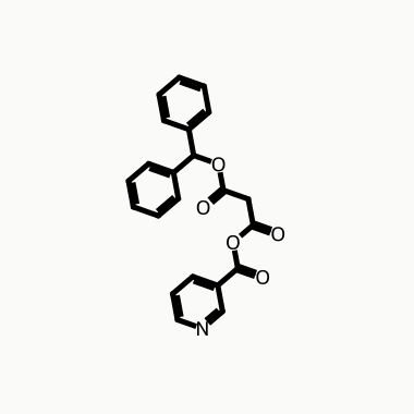 O=C(CC(=O)OC(c1ccccc1)c1ccccc1)OC(=O)c1cccnc1